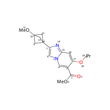 COC(=O)c1cn2cc(C34CC(OC)(C3)C4)nc2cc1OC(C)C